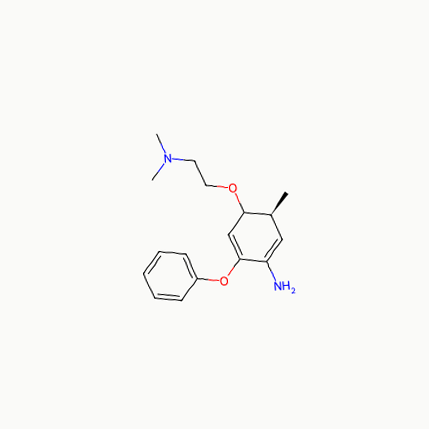 C[C@H]1C=C(N)C(Oc2ccccc2)=CC1OCCN(C)C